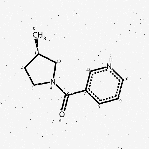 C[C@@H]1CCN(C(=O)c2cccnc2)C1